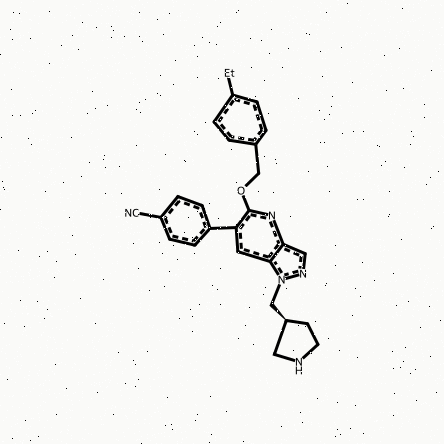 CCc1ccc(COc2nc3cnn(C[C@H]4CCNC4)c3cc2-c2ccc(C#N)cc2)cc1